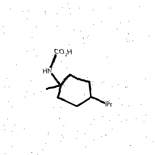 CC(C)C1CCC(C)(NC(=O)O)CC1